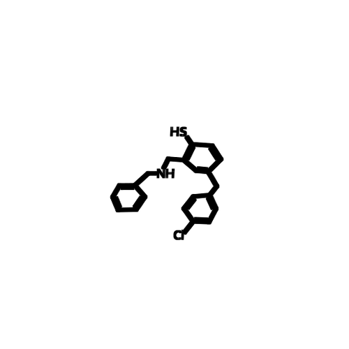 Sc1ccc(Cc2ccc(Cl)cc2)cc1CNCc1ccccc1